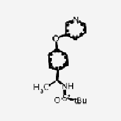 C[C@H](N[S+]([O-])C(C)(C)C)c1ccc(Oc2cccnc2)cc1